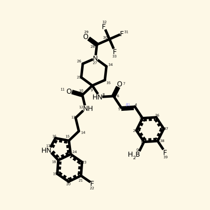 Bc1cc(/C=C/C(=O)NC2(C(=O)NCCc3c[nH]c4ccc(F)cc34)CCN(C(=O)C(F)(F)F)CC2)ccc1F